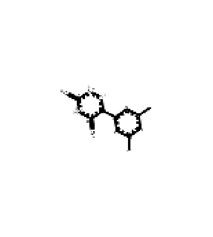 Cc1cc(C)cc(-c2n[nH]c(=O)[nH]c2=O)c1